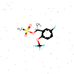 C[C@@H](OS(C)(=O)=O)c1cc(F)ccc1OC(F)(F)F